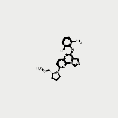 COC[C@H]1CCCN1c1ccc2nc(Nc3c(C)cccc3Cl)c3cncn3c2n1